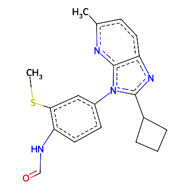 CSc1cc(-n2c(C3CCC3)nc3ccc(C)nc32)ccc1NC=O